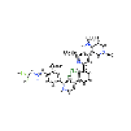 COc1cc(-c2nccc(-c3cccc(-c4ccc(CN(C(=O)O)C5CCN(C(C)=O)CC5)c(OC)n4)c3Cl)c2Cl)ccc1CNCC(F)F